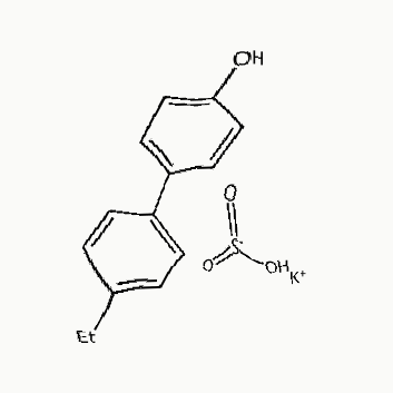 CCc1ccc(-c2ccc(O)cc2)cc1.O=[S-](=O)O.[K+]